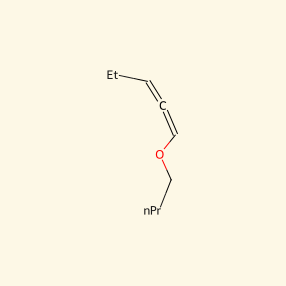 CCC=C=COCCCC